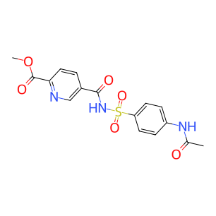 COC(=O)c1ccc(C(=O)NS(=O)(=O)c2ccc(NC(C)=O)cc2)cn1